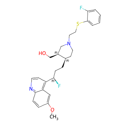 COc1ccc2nccc([C@H](F)CC[C@@H]3CCN(CCSc4ccccc4F)C[C@@H]3CO)c2c1